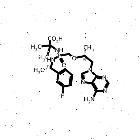 C[C@H](Cn1cnc2c(N)ncnc21)OCP(=O)(N[C@@H](C)c1cccc(F)c1)NC(C)(C)C(=O)O